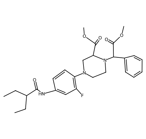 CCC(CC)C(=O)Nc1ccc(N2CCN(C(C(=O)OC)c3ccccc3)C(C(=O)OC)C2)c(F)c1